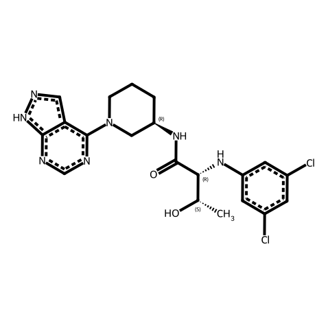 C[C@H](O)[C@@H](Nc1cc(Cl)cc(Cl)c1)C(=O)N[C@@H]1CCCN(c2ncnc3[nH]ncc23)C1